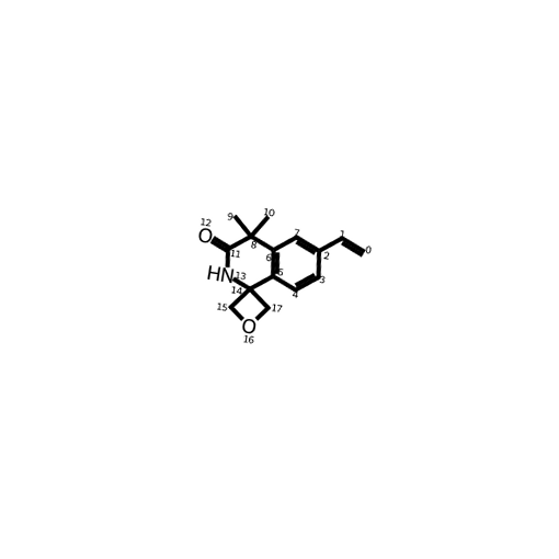 C=Cc1ccc2c(c1)C(C)(C)C(=O)NC21COC1